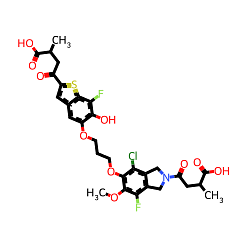 COc1c(F)c2c(c(Cl)c1OCCCOc1cc3cc(C(=O)CC(C)C(=O)O)sc3c(F)c1O)CN(C(=O)CC(C)C(=O)O)C2